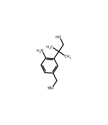 CC(C)(C)Cc1ccc(N)c(C(C)(C)CO)c1